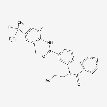 CC(=O)CCN(C(=O)c1ccccc1)c1cccc(C(=O)Nc2c(C)cc(C(F)(C(F)(F)F)C(F)(F)F)cc2C)c1